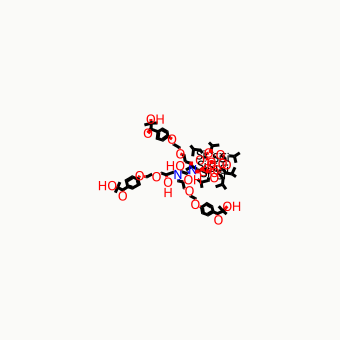 CC(C)C[Si]12O[Si]3(CCCN(CCN(CC(O)COCCOc4ccc(C(=O)C(C)(C)O)cc4)CC(O)COCCOc4ccc(C(=O)C(C)(C)O)cc4)CC(O)COCCOc4ccc(C(=O)C(C)(C)O)cc4)O[Si]4(CC(C)C)O[Si](CC(C)C)(O1)O[Si]1(CC(C)C)O[Si](CC(C)C)(O2)O[Si](CC(C)C)(O3)O[Si](CC(C)C)(O4)O1